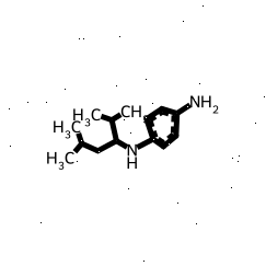 CC(C)CC(Nc1ccc(N)cc1)C(C)C